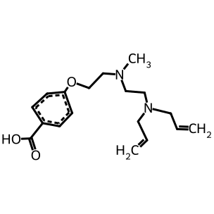 C=CCN(CC=C)CCN(C)CCOc1ccc(C(=O)O)cc1